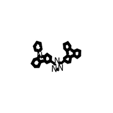 c1ccc(-n2c3ccccc3c3cc(-c4ncnc(-c5ccc6c7ccccc7c7ccccc7c6c5)n4)ccc32)cc1